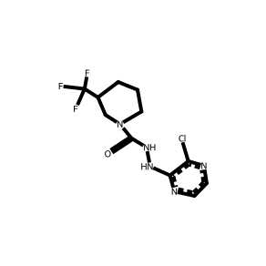 O=C(NNc1nccnc1Cl)N1CCCC(C(F)(F)F)C1